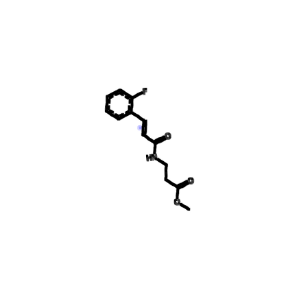 COC(=O)CCNC(=O)/C=C/c1ccccc1F